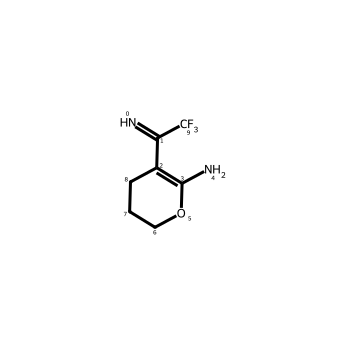 N=C(C1=C(N)OCCC1)C(F)(F)F